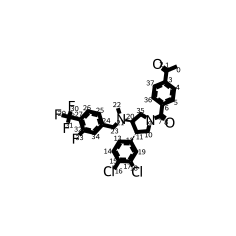 CC(=O)c1ccc(C(=O)N2C[C@H](c3ccc(Cl)c(Cl)c3)[C@@H](N(C)Cc3ccc(C(F)(F)F)c(F)c3)C2)cc1